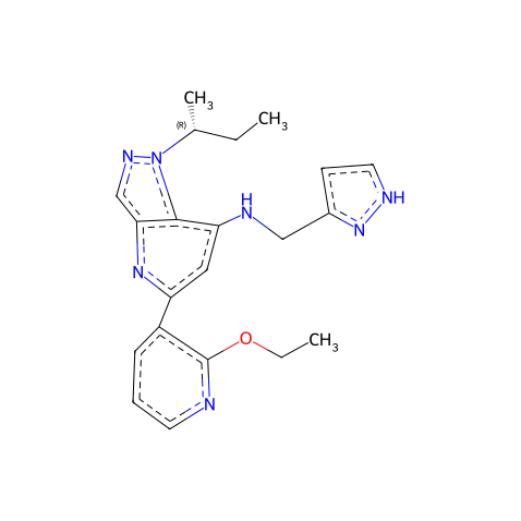 CCOc1ncccc1-c1cc(NCc2cc[nH]n2)c2c(cnn2[C@H](C)CC)n1